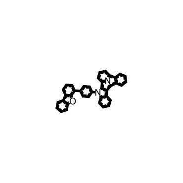 c1ccc2c(c1)oc1c(-c3ccc(-n4c5ccccc5c5c4c4cccc6c7ccccc7c5n64)cc3)cccc12